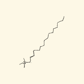 CCCCCCCCCCCCCCC[CH][Si](C)(C)C